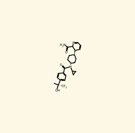 C[C@](O)(c1ccc(C(=O)N(C2CC2)[C@H]2CC[C@H](C3C=CC=NC3C(N)=O)CC2)cc1)C(F)(F)F